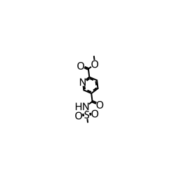 COC(=O)c1ccc(C(=O)NS(C)(=O)=O)cn1